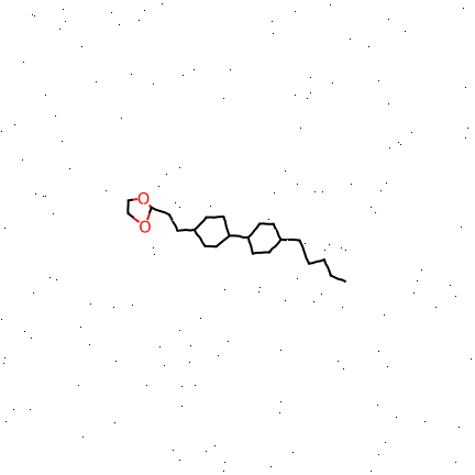 CCCCCC1CCC(C2CCC(CCC3OCCO3)CC2)CC1